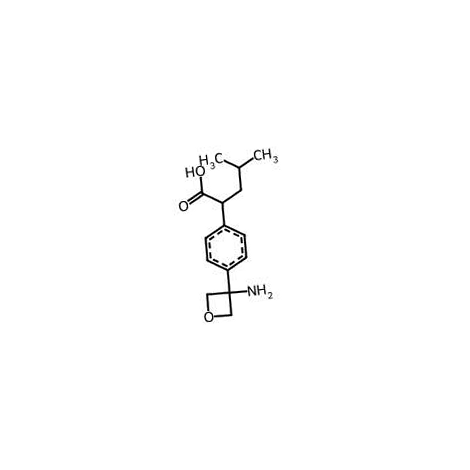 CC(C)CC(C(=O)O)c1ccc(C2(N)COC2)cc1